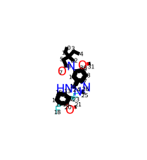 CCC1(CC)CC(=O)N(c2cc3c(Nc4ccc(F)c(OC)c4F)ncnc3cc2OC)C1